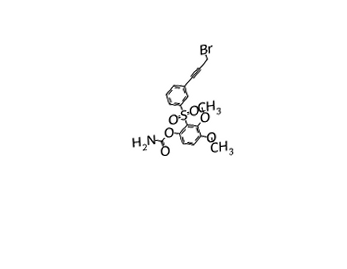 COc1ccc(OC(N)=O)c(S(=O)(=O)c2cccc(C#CCBr)c2)c1OC